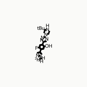 [2H]C([2H])([2H])n1cc(-c2cc(O)c(-c3cnc(N4CCN[C@@H](C(C)(C)C)C4)nn3)cc2F)cn1